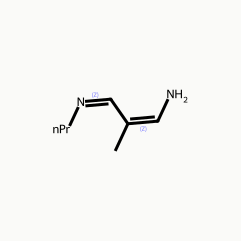 CCC/N=C\C(C)=C/N